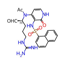 CC(=O)N(c1cc[nH]c(=O)c1NS(=O)(=O)c1cccc2ccccc12)[C@H](C=O)CCCNC(=N)N